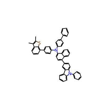 Cc1sc2c(-c3ccc(N(c4ccc(-c5ccccc5)cc4)c4ccc(-c5ccc6c(c5)c5ccccc5n6-c5ccccc5)c5ccccc45)cc3)cccc2c1C